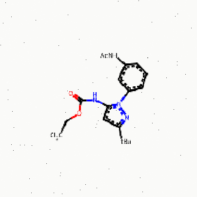 CC(=O)Nc1cccc(-n2nc(C(C)(C)C)cc2NC(=O)OCC(Cl)(Cl)Cl)c1